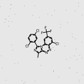 Cc1nc(-c2cc(Cl)ccc2Cl)n2c1nnc1c(Cl)cc(C(F)(F)F)cc12